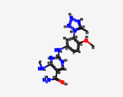 CNc1nc(Nc2ccc(OC)c(-n3nnnc3C)c2)ncc1C(N)=O